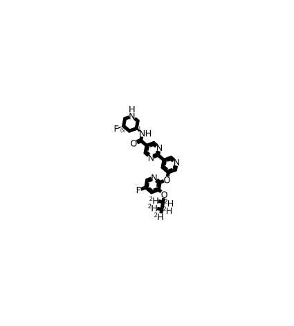 [2H]C([2H])([2H])C([2H])([2H])Oc1cc(F)cnc1Oc1cncc(-c2ncc(C(=O)N[C@@H]3CNC[C@@H](F)C3)cn2)c1